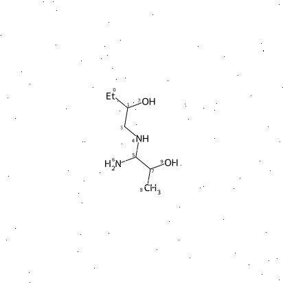 CCC(O)CNC(N)C(C)O